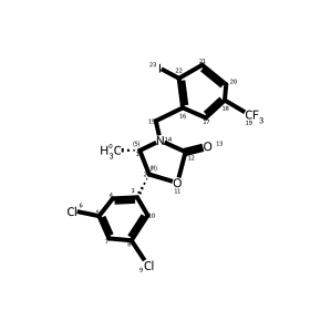 C[C@H]1[C@@H](c2cc(Cl)cc(Cl)c2)OC(=O)N1Cc1cc(C(F)(F)F)ccc1I